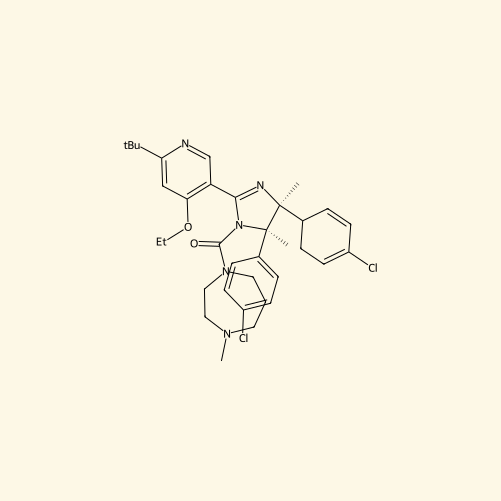 CCOc1cc(C(C)(C)C)ncc1C1=N[C@@](C)(C2C=CC(Cl)=CC2)[C@@](C)(c2ccc(Cl)cc2)N1C(=O)N1CCCN(C)CC1